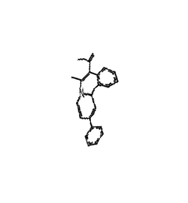 C=C(C)C1=C(C)N2C=CC(c3ccccc3)=CC2c2ccccc21